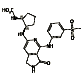 CS(=O)(=O)c1cccc(Nc2nc(N[C@@H]3CCC[C@@H]3NC(=O)O)cc3c2C(=O)NC3)c1